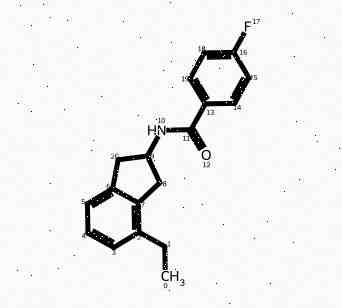 CCc1cccc2c1CC(NC(=O)c1ccc(F)cc1)C2